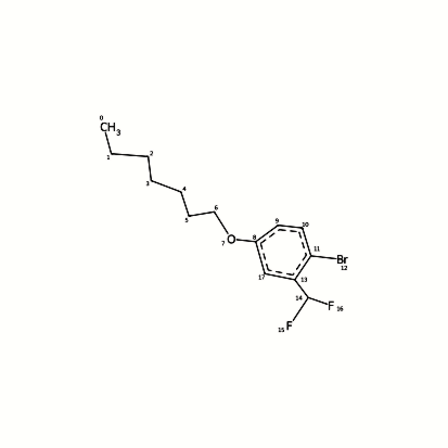 CCCCCCCOc1ccc(Br)c(C(F)F)c1